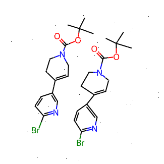 CC(C)(C)OC(=O)N1CC=C(c2ccc(Br)nc2)CC1.CC(C)(C)OC(=O)N1CC=C(c2ccc(Br)nc2)CC1